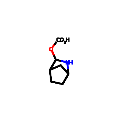 O=C(O)OC1NC2CCC1C2